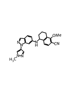 COc1c(C#N)ccc2c1CCCC2Nc1ccc2cnn(-c3cnn(C)c3)c2c1